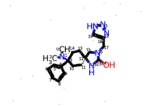 CN(C)[C@]1(c2ccccc2)CC[C@]2(CC1)CN(Cc1c[nH]nn1)C(O)N2